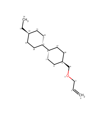 C=CCOC[C@H]1CC[C@H]([C@H]2CC[C@H](CC)CC2)CC1